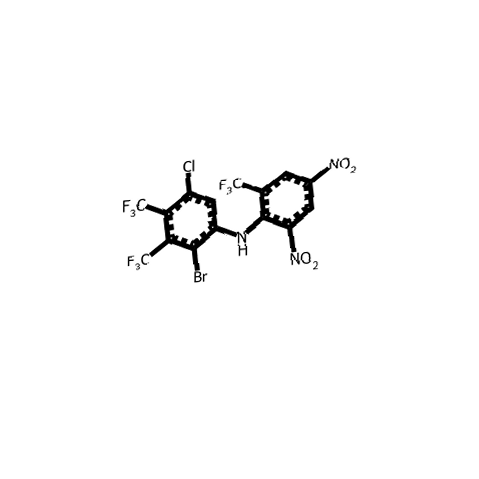 O=[N+]([O-])c1cc([N+](=O)[O-])c(Nc2cc(Cl)c(C(F)(F)F)c(C(F)(F)F)c2Br)c(C(F)(F)F)c1